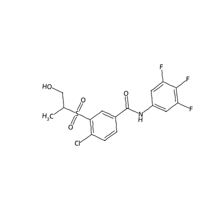 CC(CO)S(=O)(=O)c1cc(C(=O)Nc2cc(F)c(F)c(F)c2)ccc1Cl